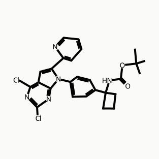 CC(C)(C)OC(=O)NC1(c2ccc(-n3c(-c4ccccn4)cc4c(Cl)nc(Cl)nc43)cc2)CCC1